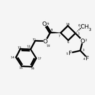 C[C@]1(OC(F)F)C[C@@H](C(=O)OCc2ccccc2)C1